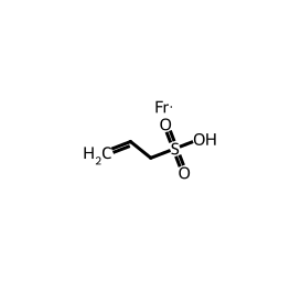 C=CCS(=O)(=O)O.[Fr]